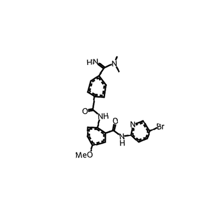 COc1ccc(NC(=O)c2ccc(C(=N)N(C)C)cc2)c(C(=O)Nc2ccc(Br)cn2)c1